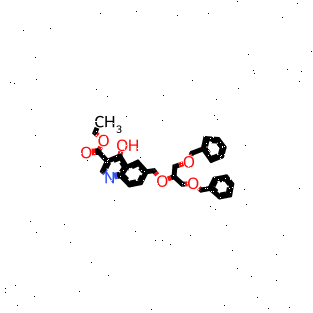 CCOC(=O)c1cnc2ccc(COC(COCc3ccccc3)COCc3ccccc3)cc2c1O